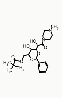 CN1CCN(C(=O)[C@H](O)[C@@H](OCc2ccccc2)[C@H](O)C(O)COC(=O)C(C)(C)C)CC1